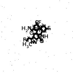 Cn1nc2c3c(c(-c4c(F)cc(C(F)(F)F)cc4C(N)=O)cc2c1CCF)C(c1cc(F)ccc1Cl)NC3=O